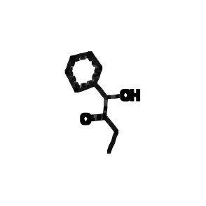 CCC(=O)C(O)c1ccccc1